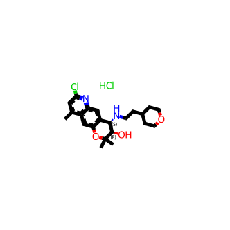 Cc1cc(Cl)nc2cc3c(cc12)OC(C)(C)[C@H](O)[C@H]3NCCC1CCOCC1.Cl